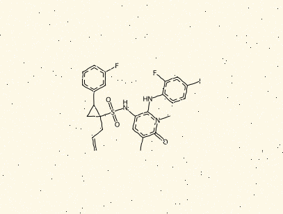 C=CCC1(S(=O)(=O)Nc2cc(C)c(=O)n(C)c2Nc2ccc(I)cc2F)CC1c1cccc(F)c1